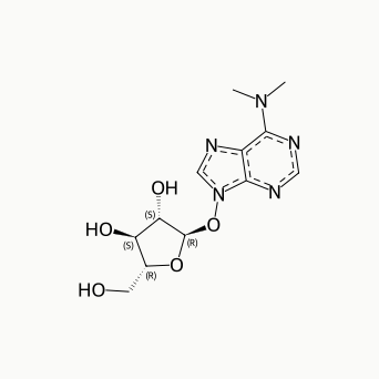 CN(C)c1ncnc2c1ncn2O[C@H]1O[C@H](CO)[C@@H](O)[C@@H]1O